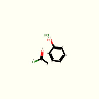 CC(=O)Cl.Cl.Oc1ccccc1